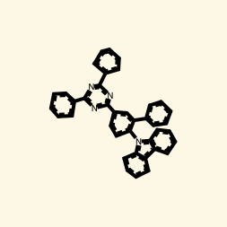 c1ccc(-c2nc(-c3ccccc3)nc(-c3ccc(-n4c5ccccc5c5ccccc54)c(-c4ccccc4)c3)n2)cc1